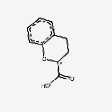 O=C(O)[C@@H]1CCc2ccccc2O1